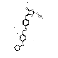 CSC1=NC(=O)C(=Cc2ccc(OCc3ccc(OC4CCCC4)cc3)cc2)S1